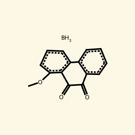 B.COc1cccc2c1C(=O)C(=O)c1ccccc1-2